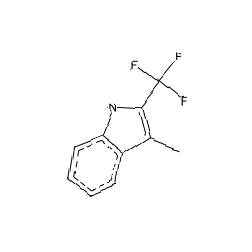 CC1=C(C(F)(F)F)[N]c2ccccc21